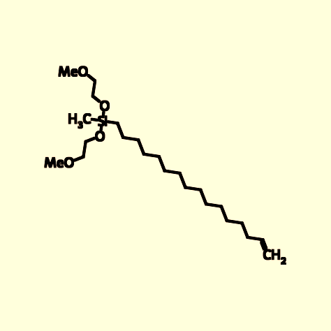 C=CCCCCCCCCCCCCCC[Si](C)(OCCOC)OCCOC